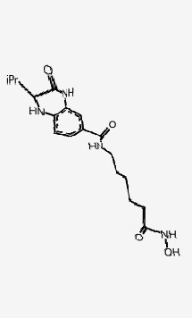 CC(C)C1Nc2ccc(C(=O)NCCCCCC(=O)NO)cc2NC1=O